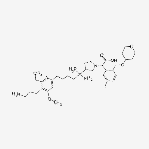 CCc1nc(CCCCC(P)(P)C2CCN([C@H](C(=O)O)c3cc(I)ccc3COC3CCOCC3)C2)cc(OC)c1CCCN